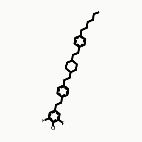 CCCCCCc1ccc(CCC2CCC(CCc3ccc(CCc4cc(F)c(Cl)c(F)c4)cc3)CC2)cc1